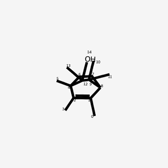 CC1=C(C)C2(C)CCC1C(C)(C)C2(C)O